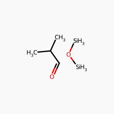 CC(C)C=O.[SiH3]O[SiH3]